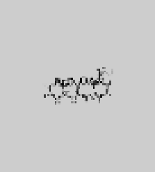 CC(=O)OC(OC(C)=O)C(=Cc1cccc(C(C)(C)C)c1)Cc1ccccc1